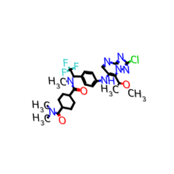 CO[C@@H](C)c1c(Nc2ccc([C@@H](N(C)C(=O)C3CCC(C(=O)N(C)C)CC3)C(F)(F)F)cc2)cnc2nc(Cl)nn12